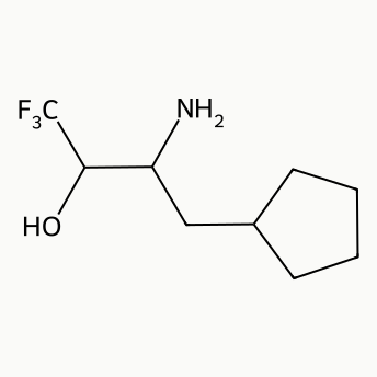 NC(CC1CCCC1)C(O)C(F)(F)F